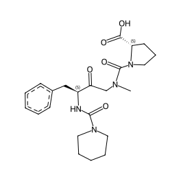 CN(CC(=O)[C@H](Cc1ccccc1)NC(=O)N1CCCCC1)C(=O)N1CCC[C@H]1C(=O)O